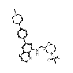 CN1CCC(c2ccc(-c3cc4nccnc4c(NC[C@@H]4CN(S(C)(=O)=O)CCO4)n3)cc2)CC1